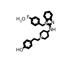 O.Oc1ccc(CCN2CCC(Nc3nc4ccccc4n3Cc3ccc(F)cc3)CC2)cc1